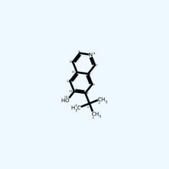 CC(C)(C)c1cc2cnccc2cc1O